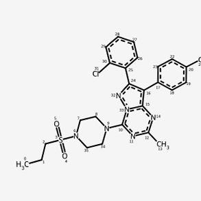 CCCS(=O)(=O)N1CCN(c2nc(C)nc3c(-c4ccc(Cl)cc4)c(-c4ccccc4Cl)nn23)CC1